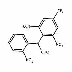 O=CN(c1ccccc1[N+](=O)[O-])c1c([N+](=O)[O-])cc(C(F)(F)F)cc1[N+](=O)[O-]